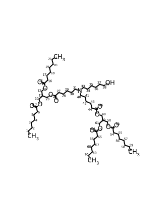 CCCCCCCC(=O)OCC(COC(=O)CCCCCCC)COC(=O)CCCCCN(CCCCCCO)CCCCCC(=O)OCC(COC(=O)CCCCCCC)COC(=O)CCCCCCC